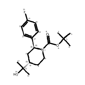 CC(C)(C)OC(=O)N1CC[C@H](C(C)(C)O)C[C@H]1c1ccc(F)cc1